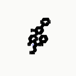 N=C/C=C(\Nc1ccccc1)c1nn(-c2ccc(-c3cnccn3)cc2F)ccc1=O